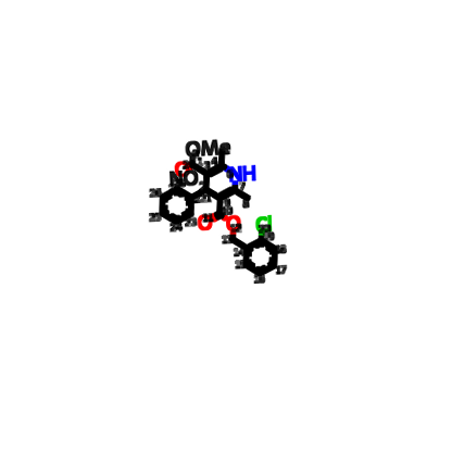 COC(=O)C1=C(C)NC(C)=C(C(=O)OCc2ccccc2Cl)C1c1ccccc1[N+](=O)[O-]